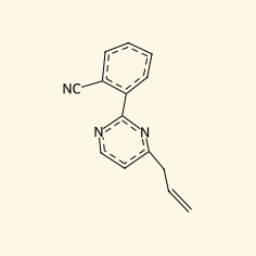 C=CCc1ccnc(-c2ccccc2C#N)n1